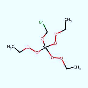 CCOO[Si](OCBr)(OOCC)OOCC